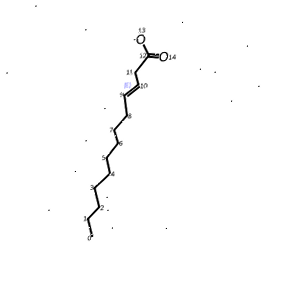 CCCCCCCCC/C=C/CC([O])=O